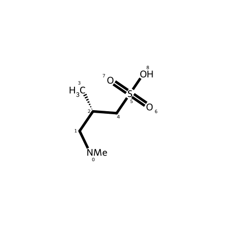 CNC[C@H](C)CS(=O)(=O)O